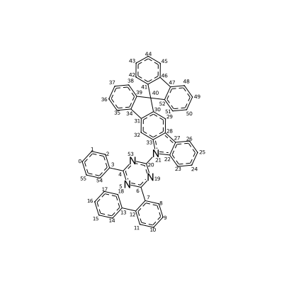 c1ccc(-c2nc(-c3ccccc3-c3ccccc3)nc(-n3c4ccccc4c4cc5c(cc43)-c3ccccc3C53c4ccccc4-c4ccccc43)n2)cc1